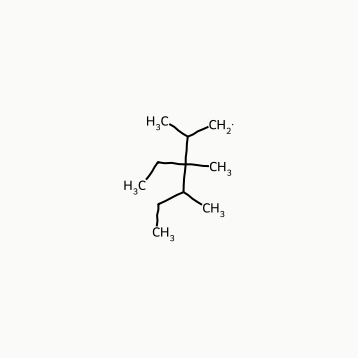 [CH2]C(C)C(C)(CC)C(C)CC